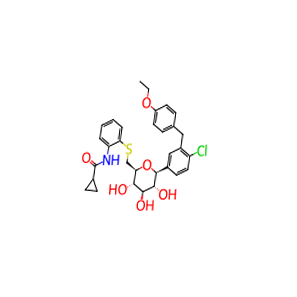 CCOc1ccc(Cc2cc([C@@H]3O[C@H](CSc4ccccc4NC(=O)C4CC4)[C@@H](O)[C@H](O)[C@H]3O)ccc2Cl)cc1